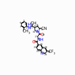 C=C(Nc1ccccc1C)C1CC(C#N)N(C(=O)CNC(=O)c2ccc3ncc(C(F)(F)F)cc3c2)C1